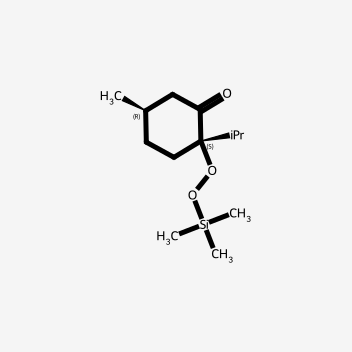 CC(C)[C@@]1(OO[Si](C)(C)C)CC[C@@H](C)CC1=O